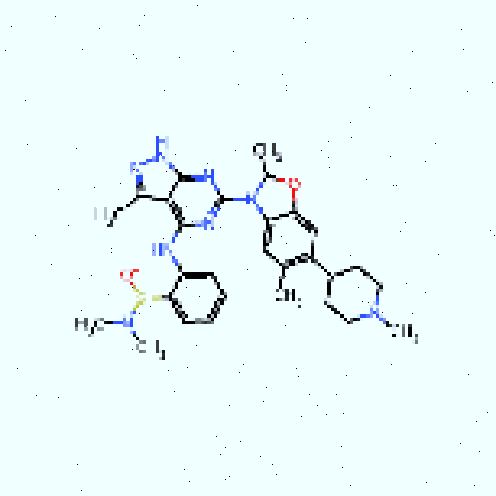 Cc1cc2c(cc1C1CCN(C)CC1)OC(C)N2c1nc(Nc2ccccc2[S+]([O-])N(C)C)c2c(C)n[nH]c2n1